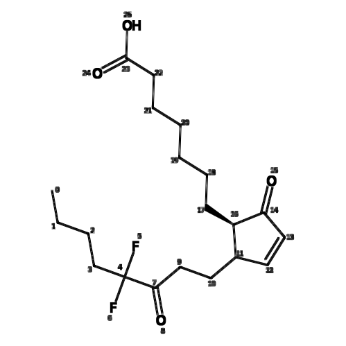 CCCCC(F)(F)C(=O)CCC1C=CC(=O)[C@@H]1CCCCCCC(=O)O